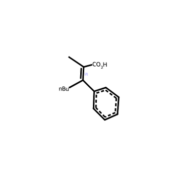 CCCC/C(=C(\C)C(=O)O)c1ccccc1